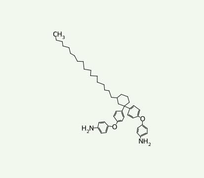 CCCCCCCCCCCCCCCCCCC1CCCC(c2ccc(Oc3ccc(N)cc3)cc2)(c2ccc(Oc3ccc(N)cc3)cc2)C1